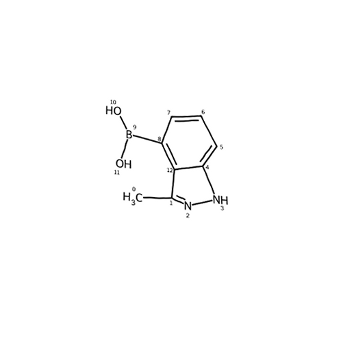 Cc1n[nH]c2cccc(B(O)O)c12